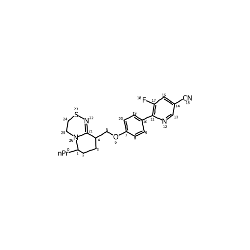 CCCC1CCC(COc2ccc(-c3ncc(C#N)cc3F)cc2)C2=NSCCN21